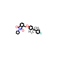 CC(C)(c1ccc(F)cc1)c1ccc(OCc2cccc3c2C(=O)N(C2CCCC2)C3=O)cc1